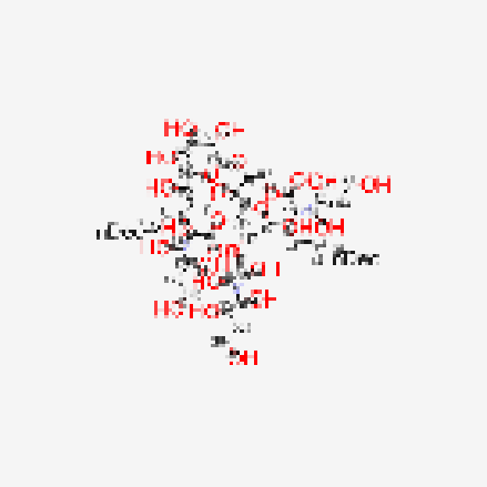 CCCCCCCCCCCCCCCO[C@H]([C@@H](OCCCCCCCCCCCCCCC)[C@H](CO[C@H](O)/C(O)=C(\O)[C@H](O)CCO)O[C@H](O)/C(O)=C(/O)[C@H](O)CCO)[C@H](CO[C@H](O)/C(O)=C(/O)[C@H](O)CCO)O[C@@H]1OC(CO)[C@@H](O)C(O)C1O